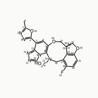 Cc1nnc(-c2cc3c(n4cnnc24)N(C(=O)O)Cc2c(F)ccc4c2[C@@H](CO4)CO3)o1